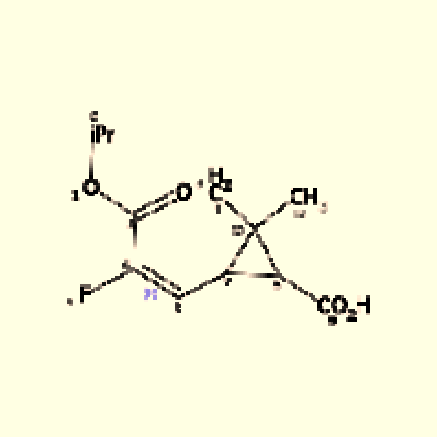 CC(C)OC(=O)/C(F)=C\C1C(C(=O)O)C1(C)C